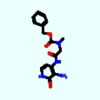 CN(CC(=O)Nc1cc[nH]c(=O)c1N)C(=O)OCc1ccccc1